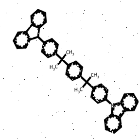 CC(C)(c1ccc(C2c3ccccc3-c3ccccc32)cc1)c1ccc(C(C)(C)c2ccc(-n3c4ccccc4c4ccccc43)cc2)cc1